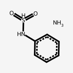 N.O=[SH](=O)Nc1ccccc1